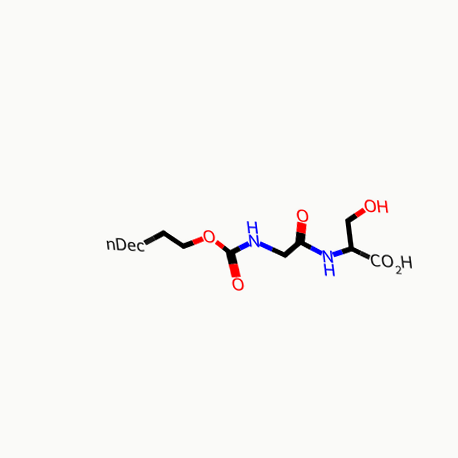 CCCCCCCCCCCCOC(=O)NCC(=O)NC(CO)C(=O)O